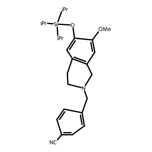 COc1cc2c(cc1O[Si](C(C)C)(C(C)C)C(C)C)CCN(Cc1ccc(C#N)cc1)C2